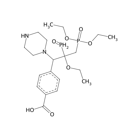 CCOC(CP(=O)(OCC)OCC)([PH2]=O)C(c1ccc(C(=O)O)cc1)N1CCNCC1